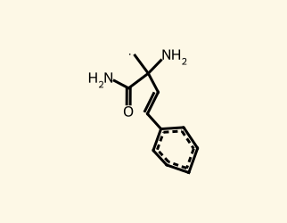 [CH2]C(N)(C=Cc1ccccc1)C(N)=O